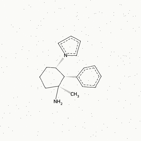 C[C@]1(N)CCC[C@H](n2cccc2)[C@@H]1c1ccccc1